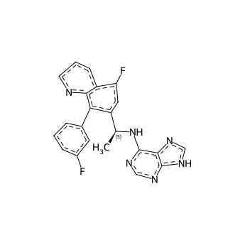 C[C@H](Nc1ncnc2[nH]cnc12)c1cc(F)c2cccnc2c1-c1cccc(F)c1